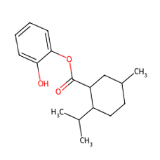 CC1CCC(C(C)C)C(C(=O)Oc2ccccc2O)C1